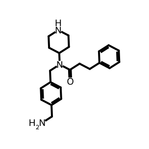 NCc1ccc(CN(C(=O)CCc2ccccc2)C2CCNCC2)cc1